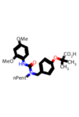 CCCCCN(Cc1ccc(OC(C)(C)C(=O)O)cc1)C(=O)Nc1ccc(OC)cc1OC